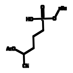 CCCCOP(=O)(O)CCCC(C#N)OC(C)=O